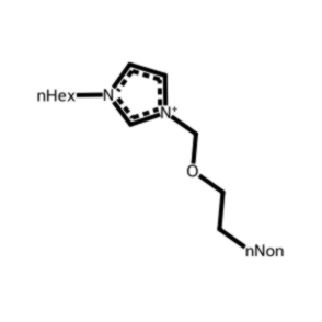 CCCCCCCCCCCOC[n+]1ccn(CCCCCC)c1